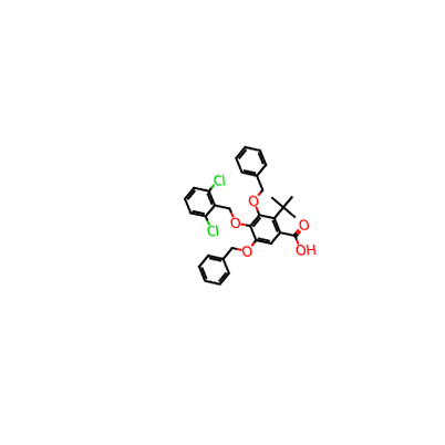 CC(C)(C)c1c(C(=O)O)cc(OCc2ccccc2)c(OCc2c(Cl)cccc2Cl)c1OCc1ccccc1